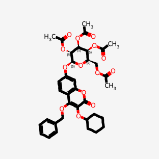 CC(=O)OC[C@H]1O[C@@H](Oc2ccc3c(OCc4ccccc4)c(OC4CCCCC4)c(=O)oc3c2)[C@H](OC(C)=O)[C@@H](OC(C)=O)[C@H]1OC(C)=O